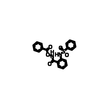 O=C(ONC(=O)c1ccccc1NS(=O)(=O)c1ccccc1)c1ccccc1